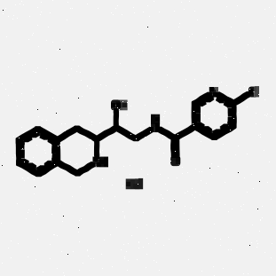 Cl.O=C(NCC(O)C1Cc2ccccc2CN1)c1ccc(Cl)nc1